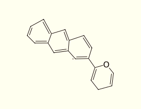 [c]1c(C2=CCC=CO2)ccc2cc3ccccc3cc12